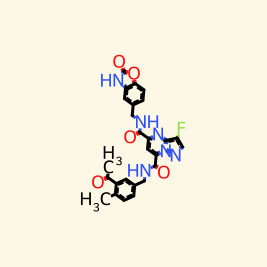 CC(=O)c1cc(CNC(=O)c2cc(C(=O)NCc3ccc4oc(=O)[nH]c4c3)nc3c(F)cnn23)ccc1C